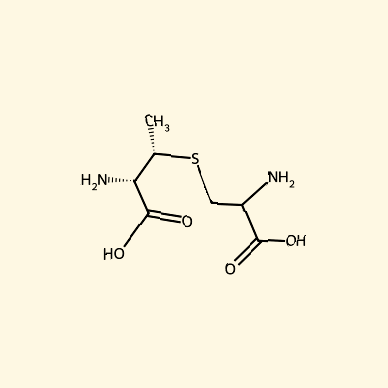 C[C@H](SCC(N)C(=O)O)[C@@H](N)C(=O)O